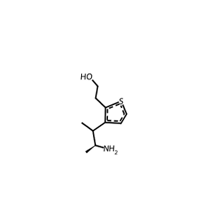 CC(c1ccsc1CCO)[C@H](C)N